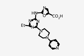 CCc1nc(Nc2ncc(C(=O)O)o2)nc(N2CCN(c3ccncc3)CC2)n1